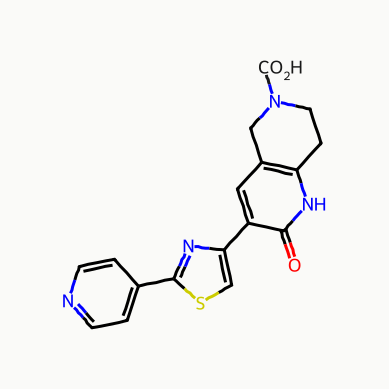 O=C(O)N1CCc2[nH]c(=O)c(-c3csc(-c4ccncc4)n3)cc2C1